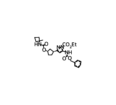 CCOC(=O)n1nc([C@H]2CC[C@@H](OC(=O)NC3(C)CCC3)C2)cc1NC(=O)OCc1ccccc1